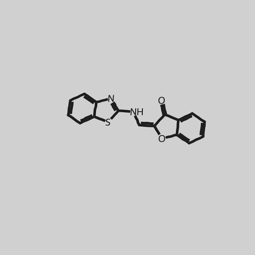 O=C1C(=CNc2nc3ccccc3s2)Oc2ccccc21